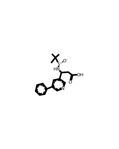 CC(C)(C)[S@@+]([O-])NC(CC(=O)O)c1cncc(-c2ccccc2)c1